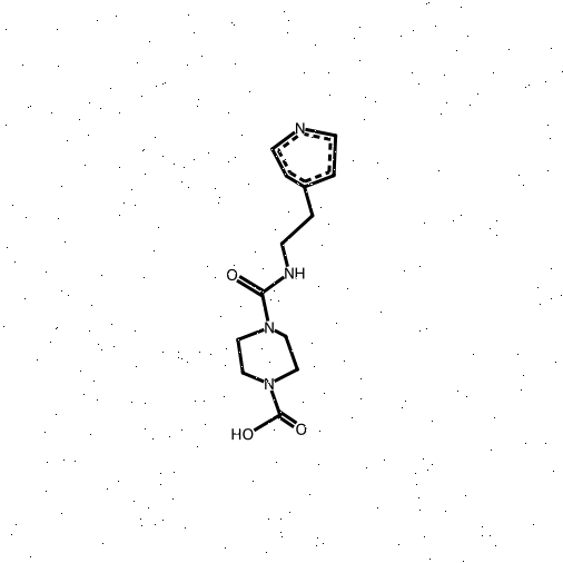 O=C(O)N1CCN(C(=O)NCCc2ccncc2)CC1